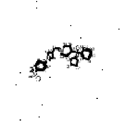 CS(=O)(=O)c1ccc(N2CC(CN3CCC(C(C#N)(c4ccccc4)[C@H]4[CH]CCC4)CC3)C2)cc1